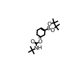 CC(C)(C)NC(=O)O[C@@H]1CCC=C(B2OC(C)(C)C(C)(C)O2)C1